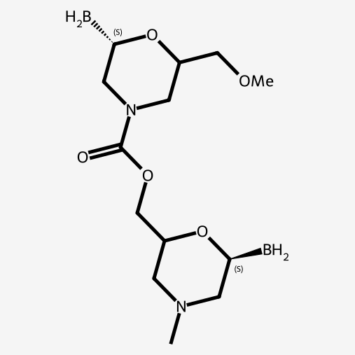 B[C@H]1CN(C)CC(COC(=O)N2CC(COC)O[C@@H](B)C2)O1